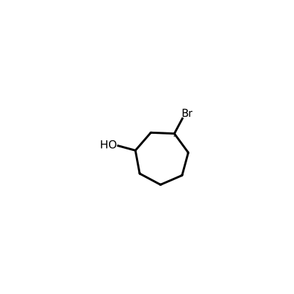 OC1CCCC[C](Br)C1